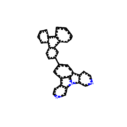 c1ccc2c(c1)c1ccccc1c1cc(-c3cc4c5ccncc5n5c6cnccc6c(c3)c45)ccc21